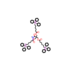 CNC(=O)C(COC(=O)CCCCC[PH](c1ccccc1)(c1ccccc1)c1ccccc1)(COC(=O)CCCCC[PH](c1ccccc1)(c1ccccc1)c1ccccc1)COC(=O)CCCCC[PH](c1ccccc1)(c1ccccc1)c1ccccc1